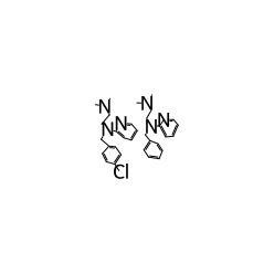 CN(C)CCN(Cc1ccc(Cl)cc1)c1ccccn1.CN(C)CCN(Cc1ccccc1)c1ccccn1